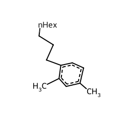 CCCCCCCCCc1ccc(C)cc1C